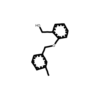 Cc1cccc(COc2ccccc2CO)c1